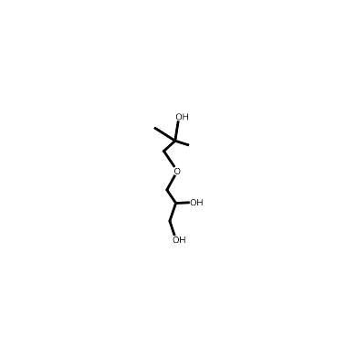 CC(C)(O)COCC(O)CO